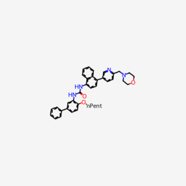 CCCCCOc1ccc(-c2ccccc2)cc1NC(=O)Nc1ccc(-c2ccc(CN3CCOCC3)nc2)c2ccccc12